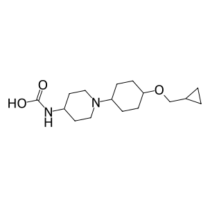 O=C(O)NC1CCN(C2CCC(OCC3CC3)CC2)CC1